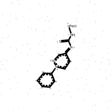 CCCCCNC(=S)/N=c1/ccn(-c2ccccc2)nc1